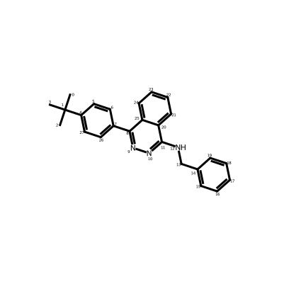 CC(C)(C)c1ccc(-c2nnc(NCc3ccccc3)c3ccccc23)cc1